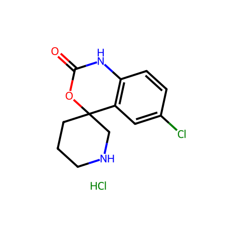 Cl.O=C1Nc2ccc(Cl)cc2C2(CCCNC2)O1